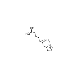 N[C@H](CCCCB(O)O)CC1CCCN1